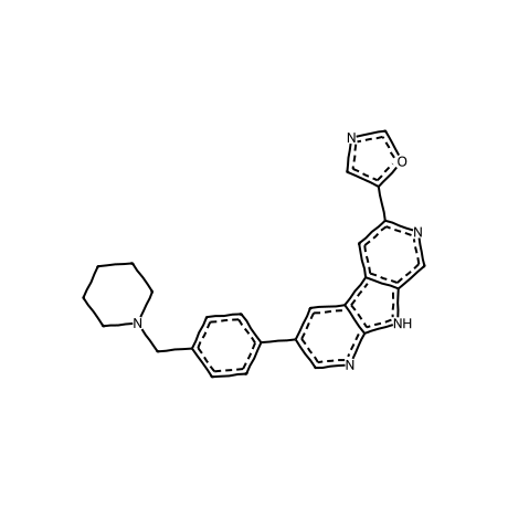 c1ncc(-c2cc3c(cn2)[nH]c2ncc(-c4ccc(CN5CCCCC5)cc4)cc23)o1